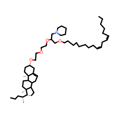 CCCCC/C=C\C/C=C\CCCCCCCCOCC(CN1CCCCC1)OCCOCCO[C@H]1CC[C@@]2(C)C(=CCC3C2CC[C@@]2(C)C3CC[C@@H]2[C@H](C)CCC)C1